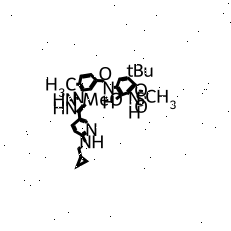 COc1c(NC(=O)c2ccc(C)c(N3C=C(c4ccc(NCC5CC5)nc4)NN3)c2)cc(C(C)(C)C)cc1NS(C)(=O)=O